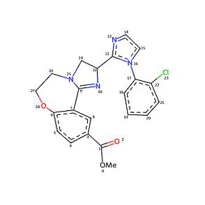 COC(=O)c1ccc2c(c1)C1=NC(c3nccn3-c3ccccc3Cl)CN1CCO2